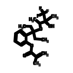 C=C(C)C(=O)Oc1ccccc1C(CC)(CC)OC(C)C(C)(O)C(F)(F)F